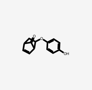 O=C1C2C=CC1C(Oc1ccc(O)cc1)C2